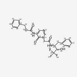 O=C(Cn1cncc(NC(=O)OCc2ccccc2)c1=O)NC(Cc1ccccc1)C(O)C(F)(F)F